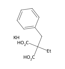 CCC(Cc1ccccc1)(C(=O)O)C(=O)O.[KH]